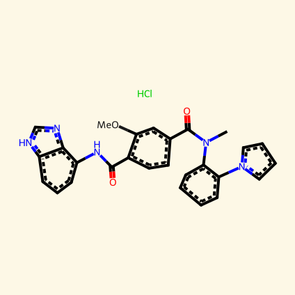 COc1cc(C(=O)N(C)c2ccccc2-n2cccc2)ccc1C(=O)Nc1cccc2[nH]cnc12.Cl